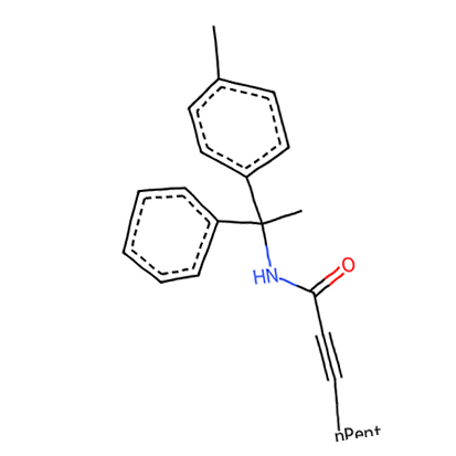 CCCCCC#CC(=O)NC(C)(c1ccccc1)c1ccc(C)cc1